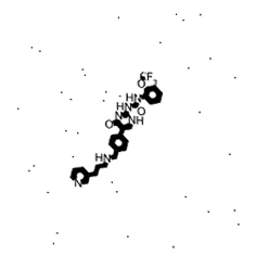 O=C(Nc1nc(=O)c(-c2ccc(CNCCCc3cccnc3)cc2)c[nH]1)Nc1ccccc1OC(F)(F)F